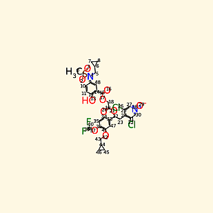 CS(=O)(=O)N(CC1CC1)c1ccc(O)c(C(=O)OCC(=O)O[C@@H](Cc2c(Cl)c[n+]([O-])cc2Cl)c2ccc(OC(F)F)c(OCC3CC3)c2)c1